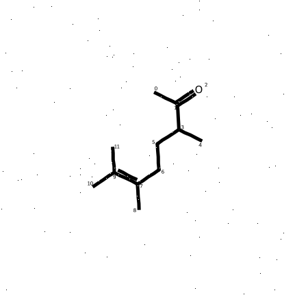 CC(=O)C(C)CCC(C)=C(C)C